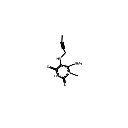 CC#CCNc1c(NC)n(C)c(=O)[nH]c1=O